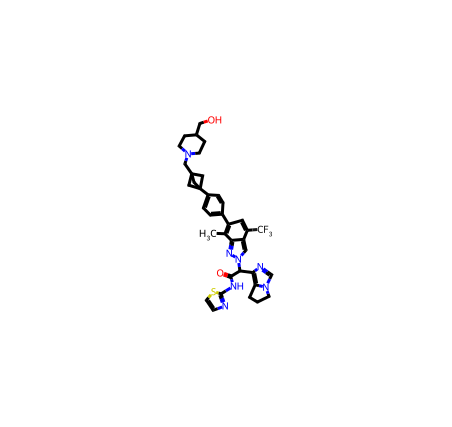 Cc1c(-c2ccc(C34CC(CN5CCC(CO)CC5)(C3)C4)cc2)cc(C(F)(F)F)c2cn(C(C(=O)Nc3nccs3)c3ncn4c3CCC4)nc12